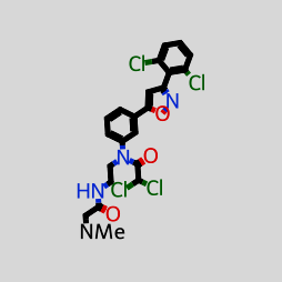 CNCC(=O)NCCN(C(=O)C(Cl)Cl)c1cccc(-c2cc(-c3c(Cl)cccc3Cl)no2)c1